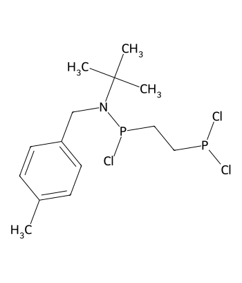 Cc1ccc(CN(P(Cl)CCP(Cl)Cl)C(C)(C)C)cc1